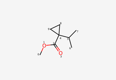 COC(=O)C1(C(C)C)CC1